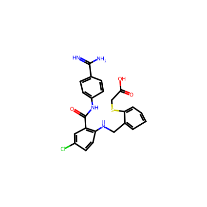 N=C(N)c1ccc(NC(=O)c2cc(Cl)ccc2NCc2ccccc2SCC(=O)O)cc1